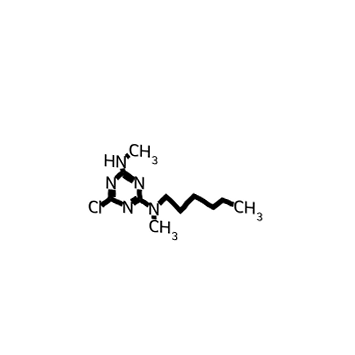 CCCCCCN(C)c1nc(Cl)nc(NC)n1